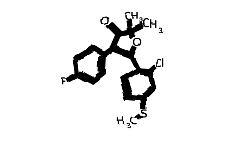 CSc1ccc(C2=C(c3ccc(F)cc3)C(=O)C(C)(C)O2)c(Cl)c1